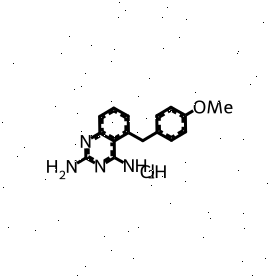 COc1ccc(Cc2cccc3nc(N)nc(N)c23)cc1.Cl